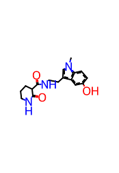 Cn1cc(CCNC(=O)C2CCCNC2=O)c2cc(O)ccc21